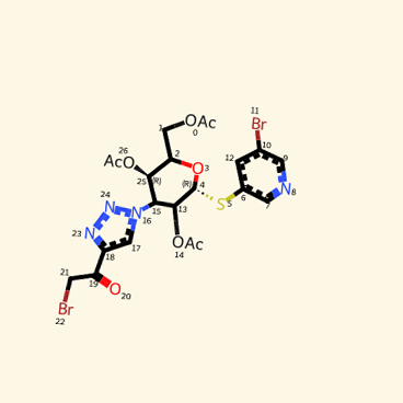 CC(=O)OCC1O[C@H](Sc2cncc(Br)c2)C(OC(C)=O)C(n2cc(C(=O)CBr)nn2)[C@H]1OC(C)=O